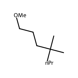 CCCC(C)(C)CCCOC